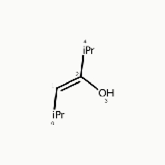 CC(C)C=C(O)C(C)C